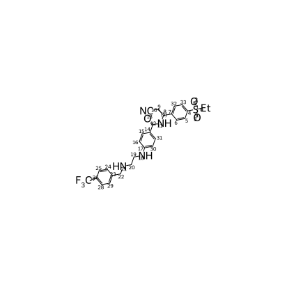 CCS(=O)(=O)c1ccc([C@H](CC#N)NC(=O)c2ccc(NCCNCc3ccc(C(F)(F)F)cc3)cc2)cc1